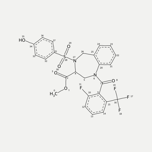 COC(=O)C1CN(C(=O)c2c(F)cccc2C(F)(F)F)c2ccccc2CN1S(=O)(=O)c1ccc(O)cc1